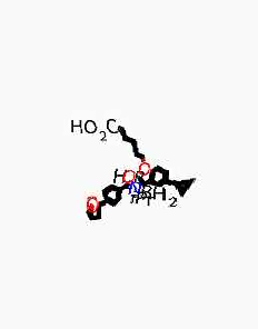 BC(B)(c1cc(C2CC2)ccc1OCCCCCC(=O)O)N(C(=O)c1ccc(-c2ccco2)cc1)C(C)C